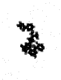 Cc1nc(F)c2c(-c3ccc(F)cc3C(=O)N3CCOC[C@H]3C)cc(C3CN([C@@H](CO[C@@H]4CCCN(C(=O)OC(C)(C)C)C4)C(C)C)C3)cn12